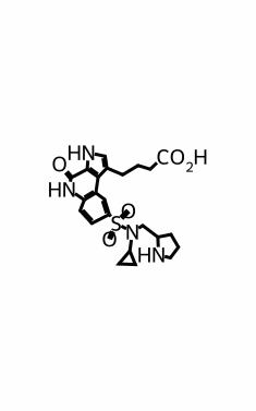 O=C(O)CCCc1c[nH]c2c(=O)[nH]c3ccc(S(=O)(=O)N(CC4CCCN4)C4CC4)cc3c12